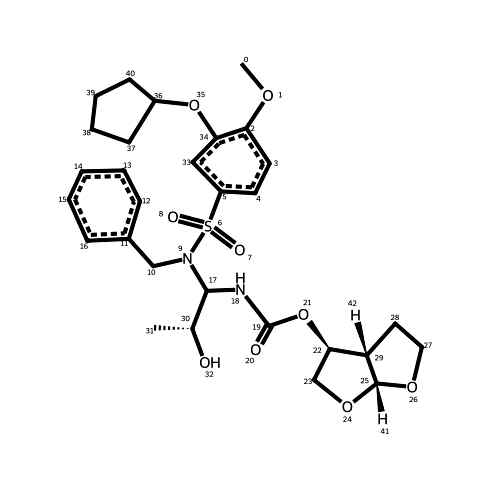 COc1ccc(S(=O)(=O)N(Cc2ccccc2)C(NC(=O)O[C@@H]2CO[C@H]3OCC[C@H]32)[C@@H](C)O)cc1OC1CCCC1